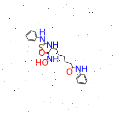 O=C(CCCCC[C@H](NC(=S)Nc1ccccc1)C(=O)NO)Nc1ccccc1